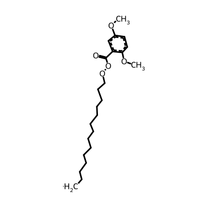 [CH2]CCCCCCCCCCCCCOOC(=O)c1cc(OC)ccc1OC